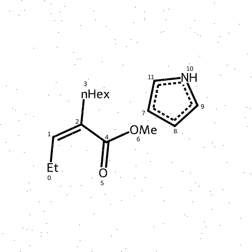 CCC=C(CCCCCC)C(=O)OC.c1cc[nH]c1